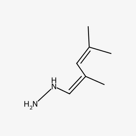 CC(C)=C/C(C)=C\NN